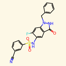 N#Cc1cccc(S(=O)(=O)Nc2cc3c(=O)[nH]n(Cc4ccccc4)c3cc2F)c1